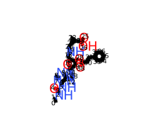 CCNC(=O)Nc1ncnc2c1ncn2C1OC(CNCC2CC2C(=O)O)C2OC(/C=C/c3ccccc3)OC21